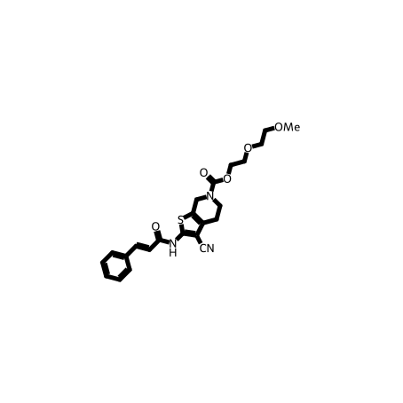 COCCOCCOC(=O)N1CCc2c(sc(NC(=O)/C=C/c3ccccc3)c2C#N)C1